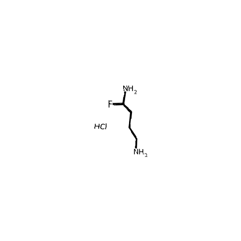 Cl.NCCCC(N)F